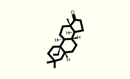 CC[C@]12CCC(C)(C)C[C@H]1CC[C@@H]1[C@@H]2CC[C@]2(C)C(=O)CC[C@@H]12